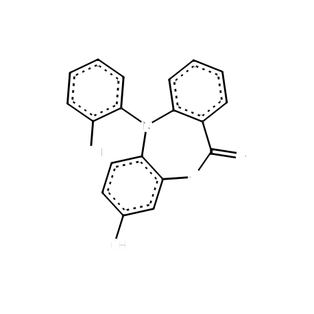 Cc1ccc2c(c1)OC(=O)c1ccccc1N2c1ccccc1C